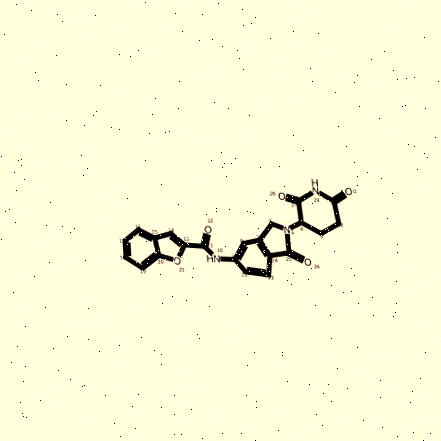 O=C1CCC(N2Cc3cc(NC(=O)c4cc5ccccc5o4)ccc3C2=O)C(=O)N1